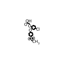 CCS(=O)(=O)c1ccc(Oc2cc(Cl)ccc2OCC(=O)O)cc1